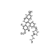 CCOc1cc(F)c(C2=C(c3ccc(O[C@H]4CCN(CCCF)C4)cc3)c3ccc(O)cc3SC2)cc1F